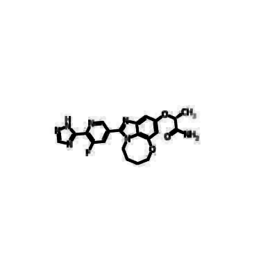 C[C@H](Oc1cc2c3c(c1)nc(-c1cnc(-c4ncn[nH]4)c(F)c1)n3CCCCO2)C(N)=O